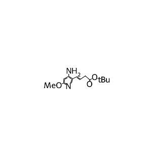 COc1cc(N)c(/C=C/CC(=O)OC(C)(C)C)cn1